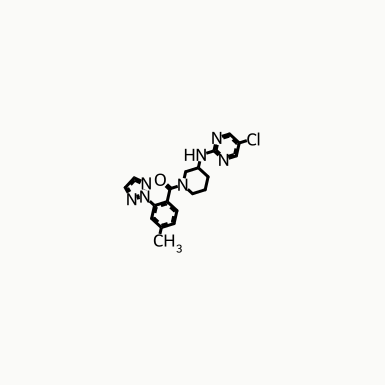 Cc1ccc(C(=O)N2CCCC(Nc3ncc(Cl)cn3)C2)c(-n2nccn2)c1